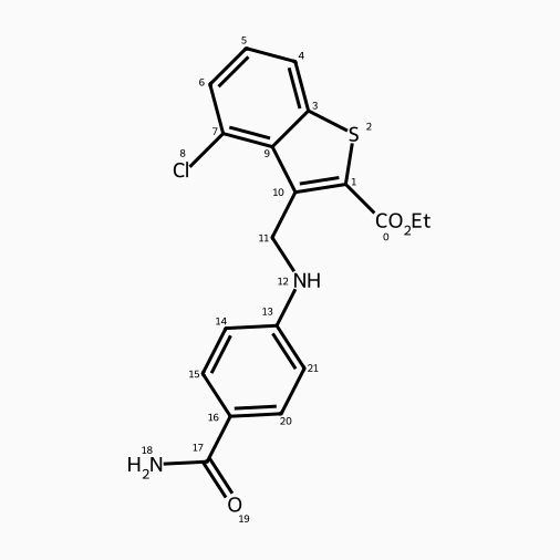 CCOC(=O)c1sc2cccc(Cl)c2c1CNc1ccc(C(N)=O)cc1